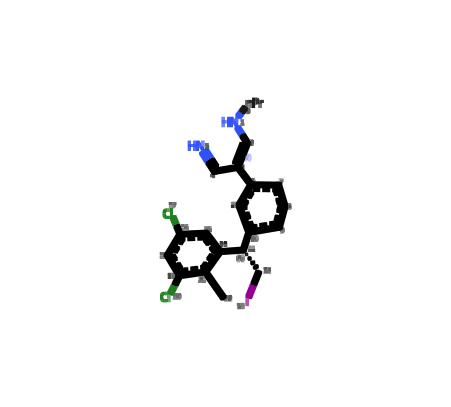 CCCN/C=C(\C=N)c1cccc([C@H](CI)c2cc(Cl)cc(Cl)c2C)c1